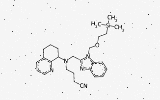 C[Si](C)(C)CCOCn1c(CN(CCCC#N)C2CCCc3cccnc32)nc2ccccc21